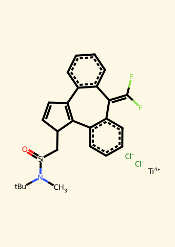 CN([Si](=O)CC1C=CC2=C1c1ccccc1C(=C(F)F)c1ccccc12)C(C)(C)C.[Cl-].[Cl-].[Ti+4]